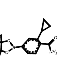 CC1(C)OB(c2ccc(C(N)=O)c(C3CC3)c2)OC1(C)C